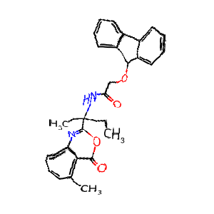 CCC(CC)(NC(=O)COC1c2ccccc2-c2ccccc21)c1nc2cccc(C)c2c(=O)o1